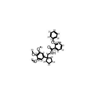 COc1cc(C2(CNC(=O)c3cccnc3Oc3ccccc3)CCCC2)cc(OC)c1OC